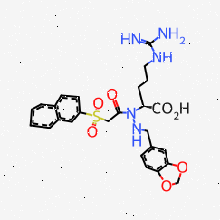 N=C(N)NCCC[C@@H](C(=O)O)N(NCc1ccc2c(c1)OCO2)C(=O)CS(=O)(=O)c1ccc2ccccc2c1